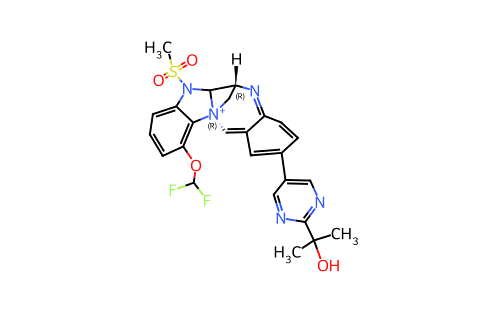 CC(C)(O)c1ncc(-c2ccc3c(c2)=C[N@@+]24C[C@@H](N=3)C2N(S(C)(=O)=O)c2cccc(OC(F)F)c24)cn1